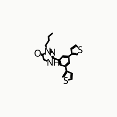 CCCCN1N=C(c2cc(-c3ccsc3)cc(-c3ccsc3)c2)NCC1=O